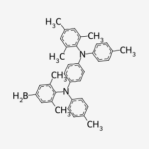 Bc1cc(C)c(N(c2ccc(C)cc2)c2ccc(N(c3ccc(C)cc3)c3c(C)cc(C)cc3C)cc2)c(C)c1